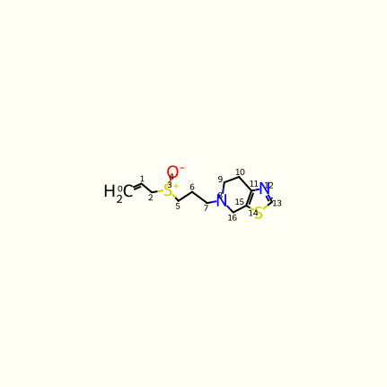 C=CC[S+]([O-])CCCN1CCc2n[c]sc2C1